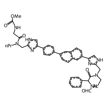 CCCN(Cc1nc(-c2ccc(-c3ccc4cc(-c5c[nH]c(CN(CC(C)=O)C(=O)C(NC=O)c6ccccc6)n5)ccc4c3)cc2)c[nH]1)C(=O)CNC(=O)OC